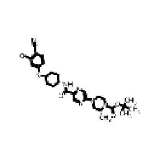 C[C@H]1CN(c2cnc(C(=O)N[C@H]3CC[C@H](Oc4ccc(C#N)c(Cl)c4)CC3)cn2)CCN1C(=O)OC(C)(C)C